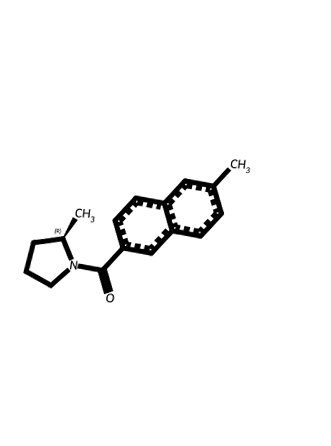 Cc1ccc2cc(C(=O)N3CCC[C@H]3C)ccc2c1